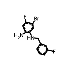 Nc1cc(F)c(Br)cc1NCc1cccc(F)c1